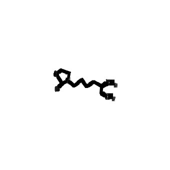 C=CC(=C)CCCCN1CCOC1=O